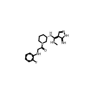 CN/C(N[C@H]1CCCN(C(=O)CNc2ccccc2F)C1)=C1/C=NNC1=N